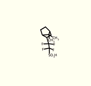 CC1(C)C2CCC1C(C(F)(F)C(F)(F)S(=O)(=O)O)C2